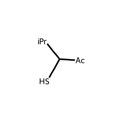 CC(=O)C(S)C(C)C